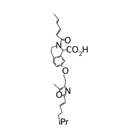 CC=CC=CC(=O)N1CCc2ccc(OCCc3nc(C=CCCC(C)C)oc3C)cc2C1C(=O)O